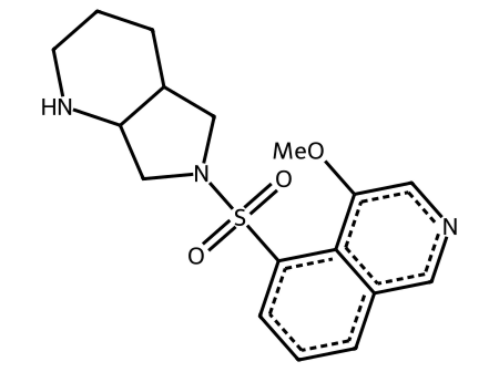 COc1cncc2cccc(S(=O)(=O)N3CC4CCCNC4C3)c12